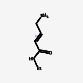 CCNC(=O)/C=C/CN